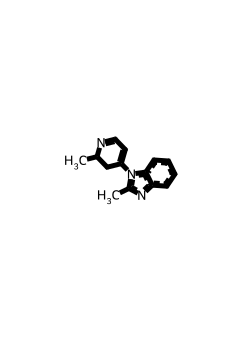 Cc1nc2ccccc2n1C1=CC=NC(C)C1